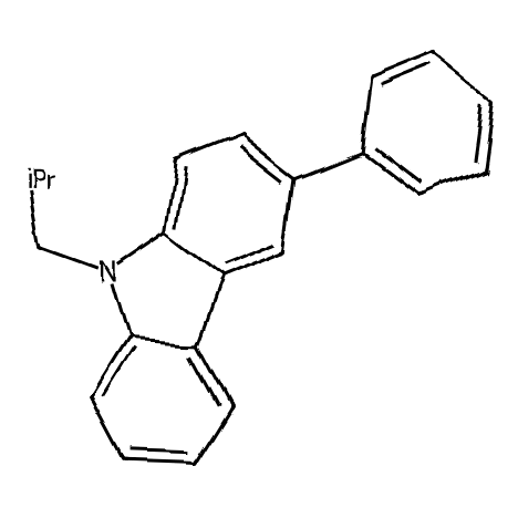 CC(C)Cn1c2ccccc2c2cc(-c3ccccc3)ccc21